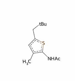 CC(=O)Nc1sc(CC(C)(C)C)cc1C